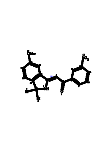 CCC1(CC)N/C(=C\C(=O)c2cccc([N+](=O)[O-])c2)c2cc(OC)ccc21